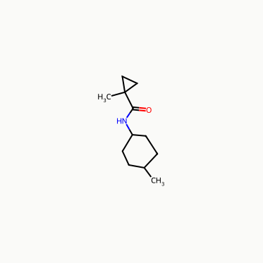 CC1CCC(NC(=O)C2(C)CC2)CC1